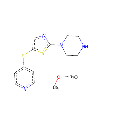 CC(C)(C)OC=O.c1cc(Sc2cnc(N3CCNCC3)s2)ccn1